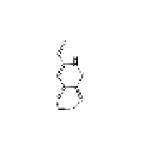 O=CC1=Cc2ccccc2ON1